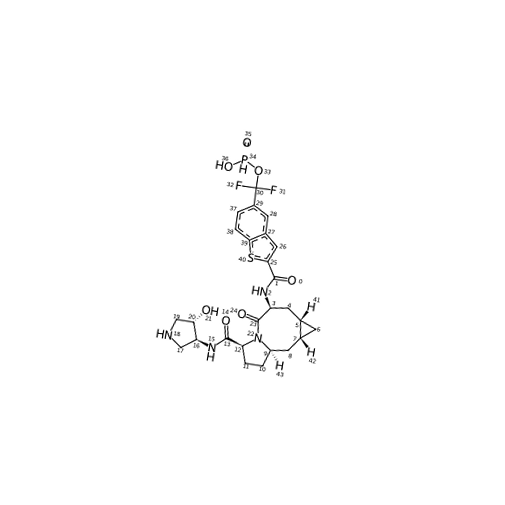 O=C(N[C@H]1C[C@@H]2C[C@@H]2C[C@H]2CC[C@@H](C(=O)N[C@H]3CNC[C@@H]3O)N2C1=O)c1cc2cc(C(F)(F)O[PH](=O)O)ccc2s1